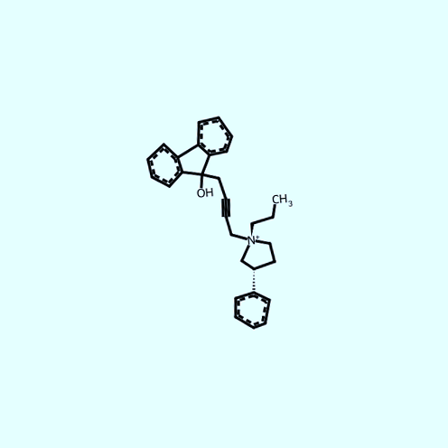 CCC[N@@+]1(CC#CCC2(O)c3ccccc3-c3ccccc32)CC[C@H](c2ccccc2)C1